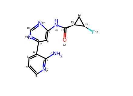 Nc1ncccc1-c1cc(NC(=O)[C@H]2C[C@H]2F)ncn1